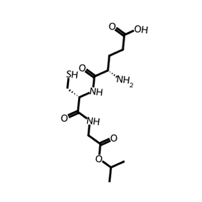 CC(C)OC(=O)CNC(=O)[C@H](CS)NC(=O)[C@@H](N)CCC(=O)O